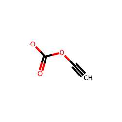 C#COC([O])=O